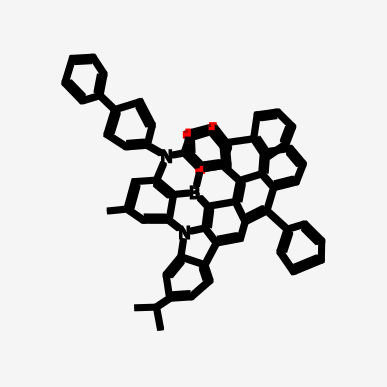 Cc1cc2c3c(c1)-n1c4cc(C(C)C)ccc4c4cc5c(-c6ccccc6)c6ccccc6c(-c6ccccc6)c5c(c41)B3c1cc(-c3ccccc3)ccc1N2c1ccc(-c2ccccc2)cc1